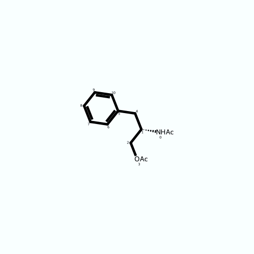 CC(=O)N[C@H](COC(C)=O)Cc1ccccc1